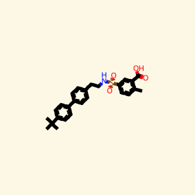 Cc1ccc(S(=O)(=O)NCCc2ccc(-c3ccc(C(C)(C)C)cc3)cc2)cc1C(=O)O